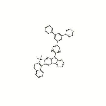 CC1(C)c2cc3c(cc2-c2c1ccc1ccccc21)c1ccccc1n3-c1ncc(-c2cc(-c3ccccc3)cc(-c3ccccc3)c2)cn1